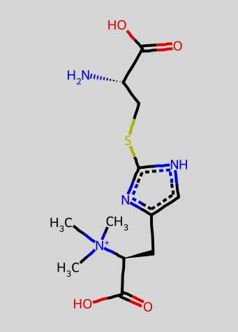 C[N+](C)(C)[C@@H](Cc1c[nH]c(SC[C@H](N)C(=O)O)n1)C(=O)O